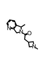 CC1c2cccnc2CN1C(=O)CC1CN(C)C1